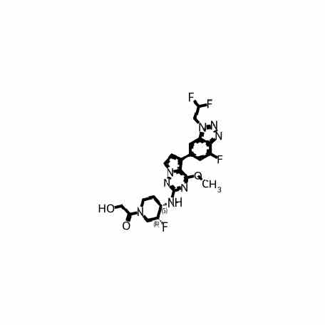 COc1nc(N[C@H]2CCN(C(=O)CO)C[C@H]2F)nn2ccc(-c3cc(F)c4nnn(CC(F)F)c4c3)c12